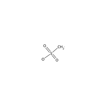 [CH2]S([O])(=O)=O